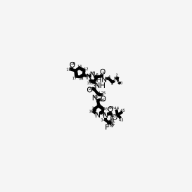 CN(C)CCNC(=O)c1nn(-c2ccc(C=O)cc2)cc1NC(=O)c1coc(-c2ccnc(N(CC(F)(F)F)C(=O)OC(C)(C)C)c2)n1